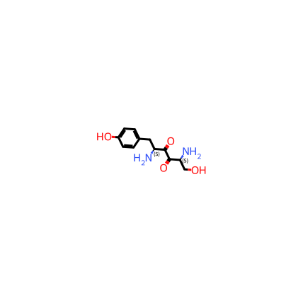 N[C@@H](CO)C(=O)C(=O)[C@@H](N)Cc1ccc(O)cc1